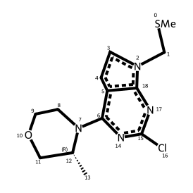 CSCn1ccc2c(N3CCOC[C@H]3C)nc(Cl)nc21